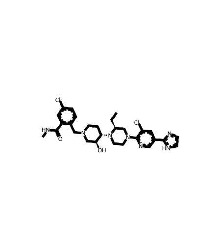 CC[C@H]1CN(c2ncc(-c3ncc[nH]3)cc2Cl)CCN1[C@H]1CCN(Cc2ccc(Cl)cc2C(=O)NC)C[C@@H]1O